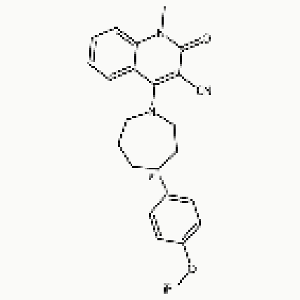 CC(C)Oc1ccc([C@@H]2CCCN(c3c(C#N)c(=O)n(C)c4ccccc34)CC2)cc1